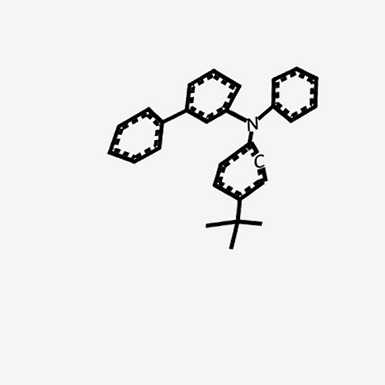 CC(C)(C)c1ccc(N(c2ccccc2)c2cccc(-c3ccccc3)c2)cc1